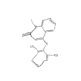 Cn1c(=O)cc(Sc2c(Cl)cccc2Cl)c2ccccc21